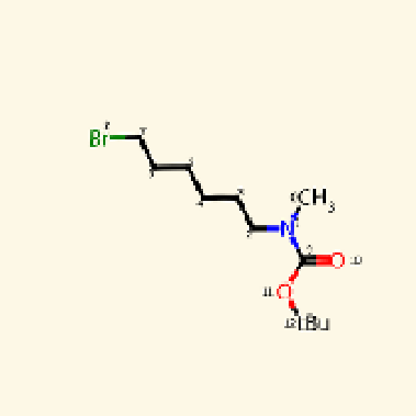 CN(CCCCCCBr)C(=O)OC(C)(C)C